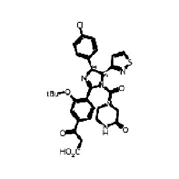 CC(C)(C)Oc1cc(C(=O)CC(=O)O)ccc1C1=N[C@@H](c2ccc(Cl)cc2)[C@@H](c2ccsn2)N1C(=O)N1CCNC(=O)C1